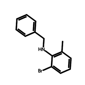 Cc1cccc(Br)c1NCc1ccccc1